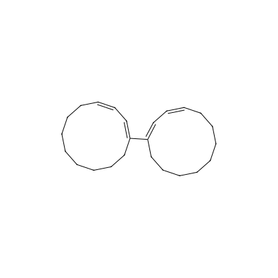 C1=CCCCCCCCCC(C2=CC=CCCCCCCCC2)=C1